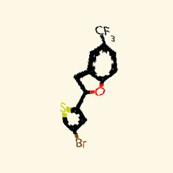 FC(F)(F)c1ccc2c(c1)CC(c1cc(Br)cs1)O2